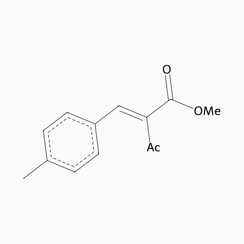 COC(=O)/C(=C/c1ccc(C)cc1)C(C)=O